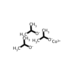 CC(C)[O-].CC(C)[O-].CC(C)[O-].[Co+3]